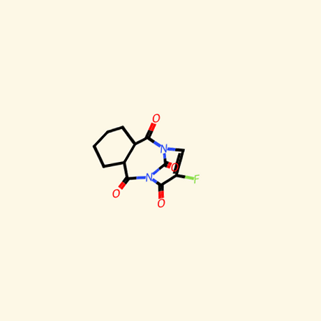 O=C1C2CCCCC2C(=O)n2c(=O)c(F)cn1c2=O